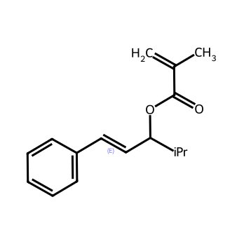 C=C(C)C(=O)OC(/C=C/c1ccccc1)C(C)C